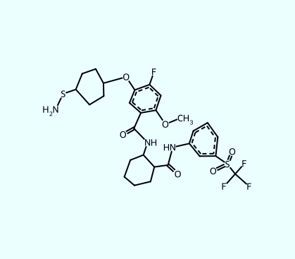 COc1cc(F)c(OC2CCC(SN)CC2)cc1C(=O)NC1CCCCC1C(=O)Nc1cccc(S(=O)(=O)C(F)(F)F)c1